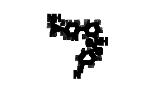 N#Cc1ccc(S(=O)(=O)Nc2cccc(-c3ccc(C4CC4N)cn3)c2)cc1